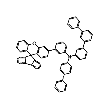 c1ccc(-c2ccc(N(c3cccc(-c4cccc(-c5ccccc5)c4)c3)c3cccc(-c4ccc5c(c4)Oc4ccccc4C54c5ccccc5-c5ccccc54)c3)cc2)cc1